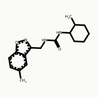 Cc1ccc2onc(CNC(=O)NC3CCCCC3C)c2c1